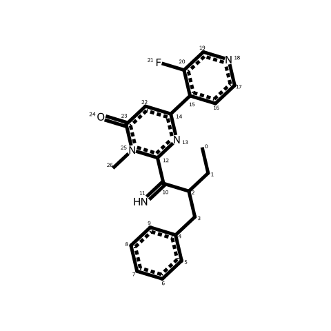 CCC(Cc1ccccc1)C(=N)c1nc(-c2ccncc2F)cc(=O)n1C